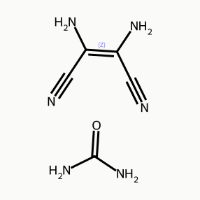 N#C/C(N)=C(/N)C#N.NC(N)=O